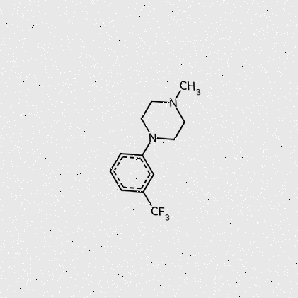 CN1CCN(c2cc[c]c(C(F)(F)F)c2)CC1